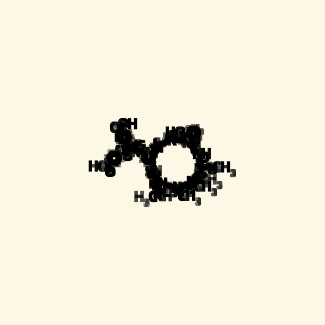 CNC(=O)C[C@@H]1NC(=O)c2csc(n2)-c2ccc(-c3nc(N(C(=O)O[C@H]4CC[C@H](C(=O)O)CC4)c4ccc(C(=O)O)nc4)cs3)nc2-c2csc(n2)-c2csc(n2)[C@H]([C@@H](O)c2ccccc2)NC(=O)CNC(=O)c2nc(sc2COC)C(C(C)C)NC(=O)c2nc1sc2C